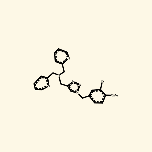 COc1ccc(Cn2cc(CN(Cc3ccccn3)Cc3ccccn3)nn2)cc1Br